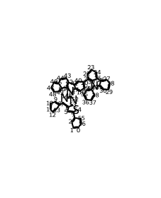 c1ccc(-c2cc3c(-c4ccccc4)nc(-n4c5ccc(-c6cccc7c8ccccc8n(-c8ccccc8)c67)cc5c5ccc6ccccc6c54)nc3s2)cc1